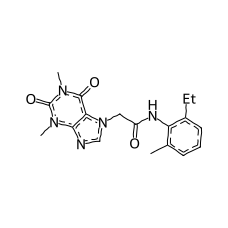 CCc1cccc(C)c1NC(=O)Cn1cnc2c1c(=O)n(C)c(=O)n2C